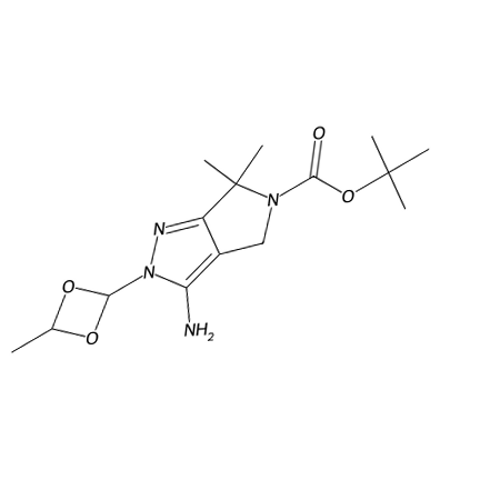 CC1OC(n2nc3c(c2N)CN(C(=O)OC(C)(C)C)C3(C)C)O1